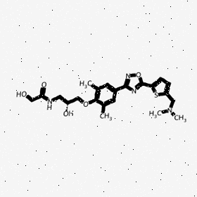 Cc1cc(-c2noc(-c3ccc(CN(C)C)s3)n2)cc(C)c1OC[C@H](O)CNC(=O)CO